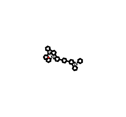 c1ccc(-n2c3ccccc3c3cc(-c4ccc(-c5ccc6c(c5)c5ccc7c8ccccc8n(-c8ccccc8)c7c5n6-c5ccccc5)cc4)ccc32)cc1